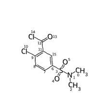 CN(C)S(=O)(=O)c1ccc(Cl)c(C(=O)Cl)c1